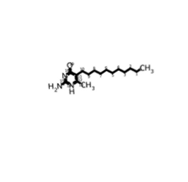 CCCCCCCCCCCc1c(C)[nH]c(N)nc1=O